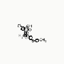 Cc1ccc(Oc2ccc(N(C[C@H](Nc3ccc(Cl)cc3)C(=O)NO)S(C)(=O)=O)cc2)cc1